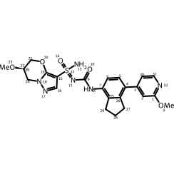 COc1cc(-c2ccc(NC(=O)N=S(N)(=O)c3cnn4c3OC[C@H](OC)C4)c3c2CCC3)ccn1